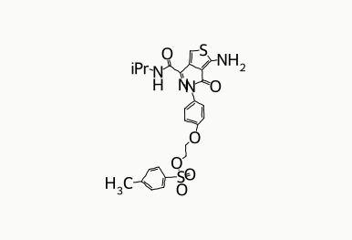 Cc1ccc(S(=O)(=O)OCCOc2ccc(-n3nc(C(=O)NC(C)C)c4csc(N)c4c3=O)cc2)cc1